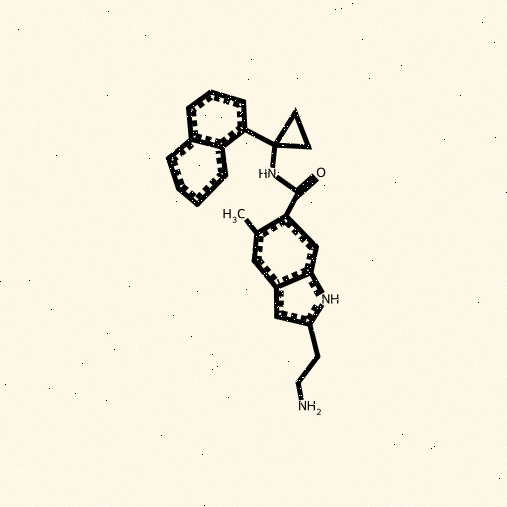 Cc1cc2cc(CCN)[nH]c2cc1C(=O)NC1(c2cccc3ccccc23)CC1